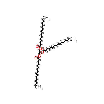 CCCCCCC=CCCCCCCCC(=O)OCC(COC(=O)CCCCCCCC=CCCCCCC)OC(=O)CCCCCCCC=CCCCCCC